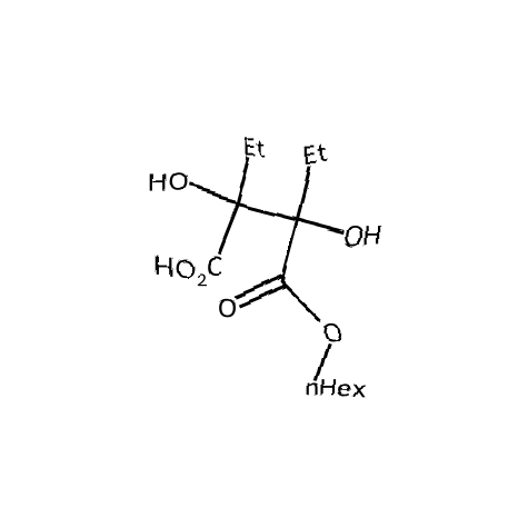 CCCCCCOC(=O)C(O)(CC)C(O)(CC)C(=O)O